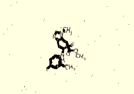 COC(=O)C1(F)C=C2C(=NCN2C)C=C1Nc1ccc(I)cc1C